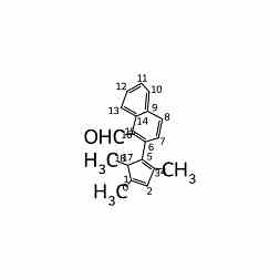 CC1=CC(C)=C(c2ccc3ccccc3c2C=O)C1C